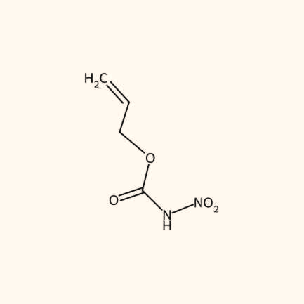 C=CCOC(=O)N[N+](=O)[O-]